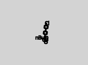 CCCCC(OS(C)(=O)=O)c1ccc(-c2ccc(Cl)cc2)cc1